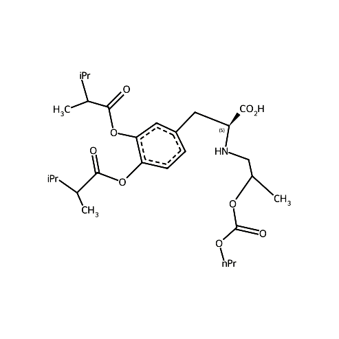 CCCOC(=O)OC(C)CN[C@@H](Cc1ccc(OC(=O)C(C)C(C)C)c(OC(=O)C(C)C(C)C)c1)C(=O)O